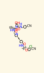 CC(C)(C)[C@H](NC(=O)Cc1ccc(C#Cc2ccc(C(=O)N[C@H]3C(C)(C)[C@H](Oc4ccc(C#N)c(Cl)c4)C3(C)C)cc2)cn1)C(=O)N1C[C@H](O)C[C@H]1C(=O)NCc1ccc(C#N)cc1